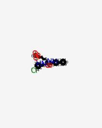 CS(=O)(=O)OCCCC[C@H](NC(=O)c1ccc(-c2ccccc2)cc1)C(=O)NCc1cccc(Cl)c1